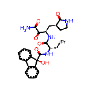 CC(C)C[C@H](NC(=O)C1(O)c2ccccc2-c2ccccc21)C(=O)N[C@H](C[C@@H]1CCNC1=O)C(=O)C(N)=O